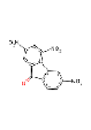 O=C1c2ccc([N+](=O)[O-])cc2-c2c1cc([N+](=O)[O-])cc2[N+](=O)[O-]